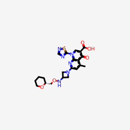 Cc1cc(N2CC(NOC[C@H]3CCCCO3)C2)nc2c1c(=O)c(C(=O)O)cn2-c1ncns1